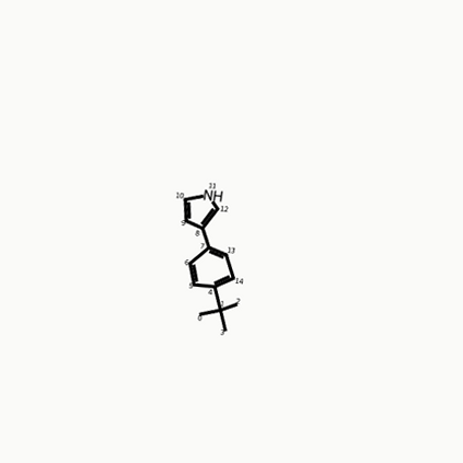 CC(C)(C)c1ccc(-c2cc[nH]c2)cc1